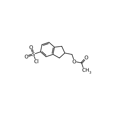 CC(=O)OCC1Cc2ccc(S(=O)(=O)Cl)cc2C1